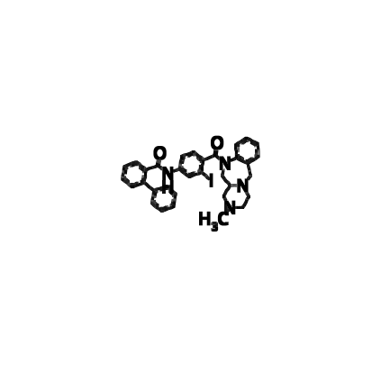 CN1CCN2Cc3ccccc3N(C(=O)c3ccc(NC(=O)c4ccccc4-c4ccccc4)cc3I)CC2C1